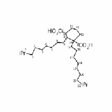 CC(C)CCCCCCCC1C(C(=O)O)CCCC1(CCCCCCCC(C)C)C(=O)O